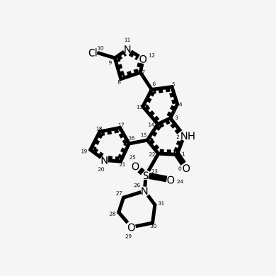 O=c1[nH]c2ccc(-c3cc(Cl)no3)cc2c(-c2cccnc2)c1S(=O)(=O)N1CCOCC1